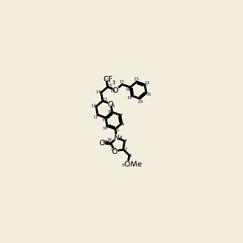 COCC1CN(c2ccc3c(c2)CCC(CC(OCc2ccccc2)C(F)(F)F)O3)C(=O)O1